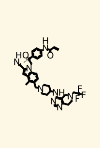 C=CC(=O)Nc1ccc([C@](C)(O)Cn2c(C#N)cc3c(C)c(CN4CCC(Nc5ncnc6c5CN(CC(F)(F)F)CC6)CC4)ccc32)cc1